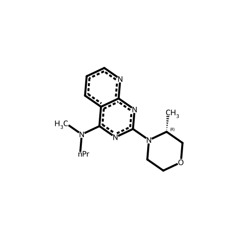 CCCN(C)c1nc(N2CCOC[C@H]2C)nc2ncccc12